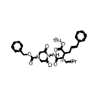 CC(C)C[C@@H](C(=O)NN1C(=O)CN(C(=O)OCc2ccccc2)CC1=O)C(CC=Cc1ccccc1)C(=O)OC(C)(C)C